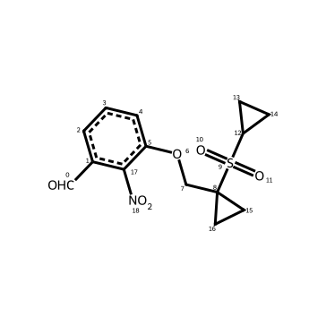 O=Cc1cccc(OCC2(S(=O)(=O)C3CC3)CC2)c1[N+](=O)[O-]